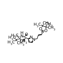 CC1(C)OB(C=CCn2ccc(S(=O)(=O)N[Si](C)(C)C(C)(C)C)n2)OC1(C)C